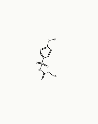 CC(C)Oc1ccc(S(=O)(=O)NC(=O)OC(C)(C)C)cc1